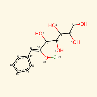 OCC(O)C(O)C(O)C(O)C(=Cc1ccccc1)OCl